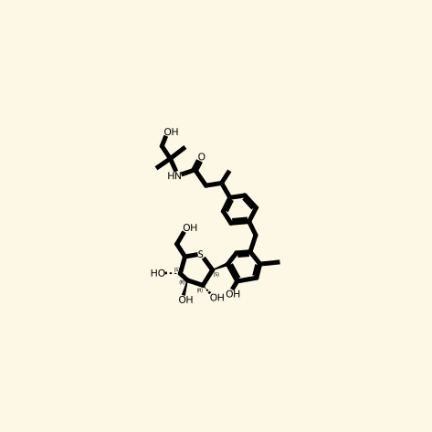 Cc1cc(O)c([C@@H]2SC(CO)[C@@H](O)[C@H](O)[C@H]2O)cc1Cc1ccc(C(C)CC(=O)NC(C)(C)CO)cc1